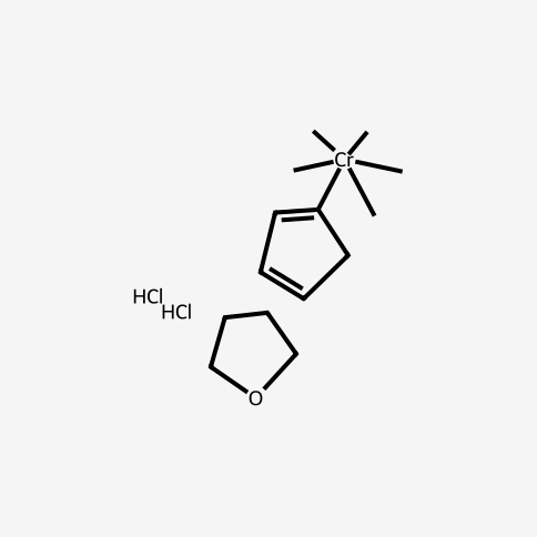 C1CCOC1.Cl.Cl.[CH3][Cr]([CH3])([CH3])([CH3])([CH3])[C]1=CC=CC1